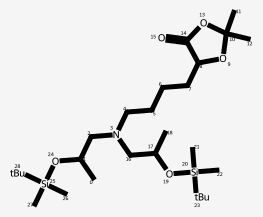 CC(CN(CCCCC1OC(C)(C)OC1=O)CC(C)O[Si](C)(C)C(C)(C)C)O[Si](C)(C)C(C)(C)C